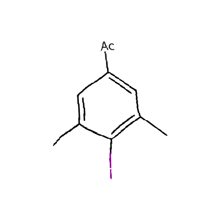 CC(=O)c1cc(C)c(I)c(C)c1